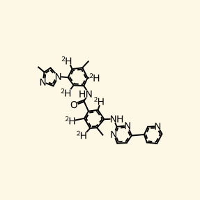 [2H]c1c([2H])c(C(=O)Nc2c([2H])c(C)c([2H])c(-n3cnc(C)c3)c2[2H])c([2H])c(Nc2nccc(-c3cccnc3)n2)c1C